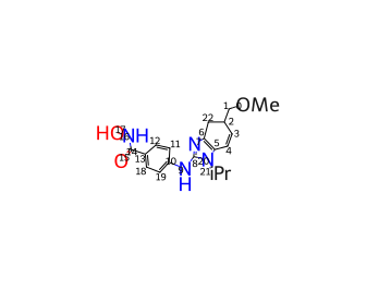 COCC1C=Cc2c(nc(Nc3ccc(C(=O)NO)cc3)n2C(C)C)C1